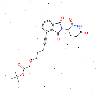 CC(C)(C)OC(=O)COCCCC#Cc1cccc2c1C(=O)N(C1CCC(=O)NC1=O)C2=O